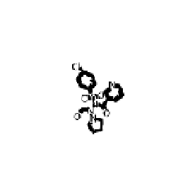 O=CN(N1CCCC1)N(C(=O)c1cccnc1)S(=O)(=O)c1ccc(Cl)cc1